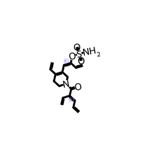 C=C/C=C(\C=C)C(=O)N1CCC(C=C)=C(/C=C(\C=C)OS(N)(=O)=O)C1